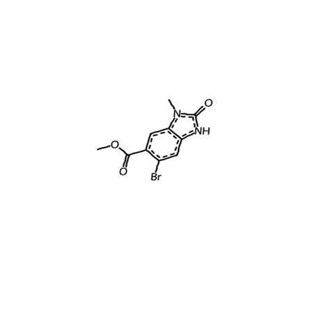 COC(=O)c1cc2c(cc1Br)[nH]c(=O)n2C